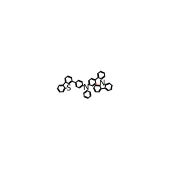 c1ccc(N(c2ccc(-c3ccccc3-n3c4ccccc4c4ccccc43)cc2)c2ccc(-c3cccc4c3sc3ccccc34)cc2)cc1